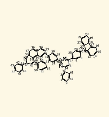 c1ccc(-c2cc(-c3ccc(-n4c5ccccc5c5ccccc54)cc3)nc(-c3ccc(-c4ccc5ccc6nc(-c7ccccc7)cc(-c7ccccc7)c6c5c4)cc3)n2)cc1